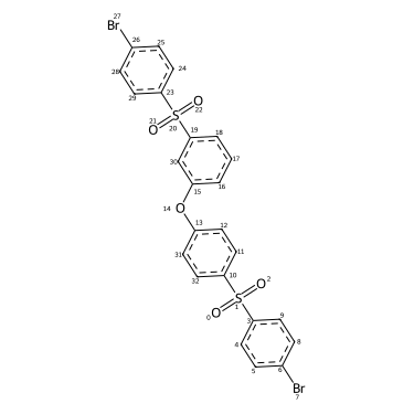 O=S(=O)(c1ccc(Br)cc1)c1ccc(Oc2cccc(S(=O)(=O)c3ccc(Br)cc3)c2)cc1